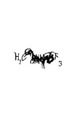 Cc1cc(N2CCO[C@H](C)C2)cc2[nH]c(-c3cc(C(=O)c4ccccc4C(F)(F)F)c[nH]3)nc12